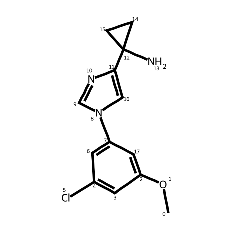 COc1cc(Cl)cc(-n2cnc(C3(N)CC3)c2)c1